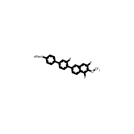 CCCCCc1ccc(-c2ccc(-c3ccc4c(F)c(OC(F)(F)F)c(F)cc4c3)c(F)c2)cc1